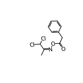 CC(=NOC(=O)Cc1ccccc1)C(Cl)Cl